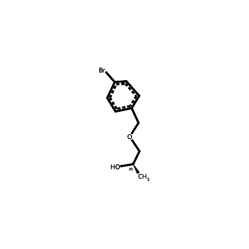 C[C@@H](O)COCc1ccc(Br)cc1